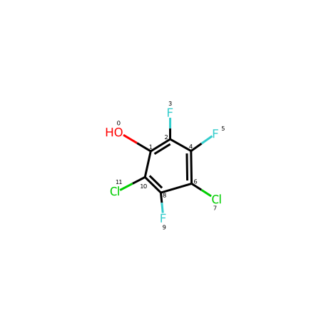 Oc1c(F)c(F)c(Cl)c(F)c1Cl